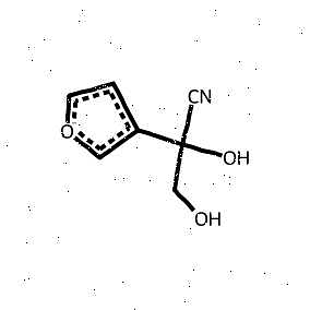 N#CC(O)(CO)c1ccoc1